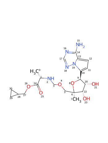 C[C@H](NCOC[C@@]1(C)O[C@@H](c2ccc3c(N)ncnn23)[C@H](O)[C@@H]1O)C(=O)OCC1CC1